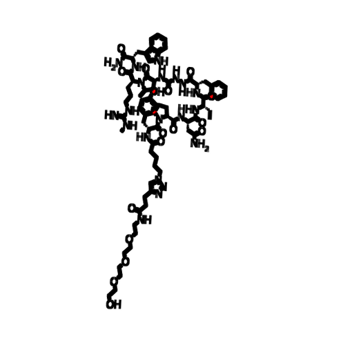 CC[C@H](NC(=O)[C@H](CC(N)=O)NC(=O)[C@@H]1CCCN1C(=O)[C@@H](Cc1ccc(O)cc1)NC(=O)CCCCn1cc(CCC(=O)NCCOCCOCCOCCO)nn1)C(=O)N[C@@H](Cc1ccccc1)C(=O)NNC(=O)N[C@H]1CC(C)N([C@@H](CCCNC(=N)NC)C(=O)N[C@@H](Cc2c[nH]c3ccccc23)C(N)=O)C1=O